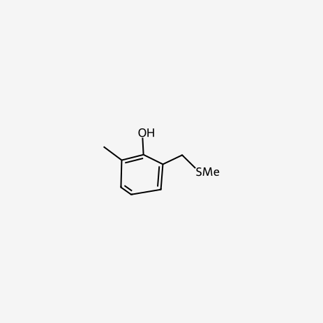 CSCc1cccc(C)c1O